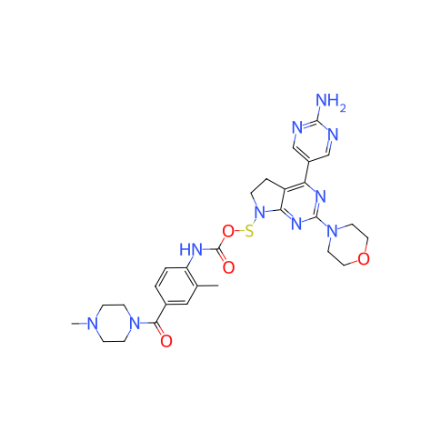 Cc1cc(C(=O)N2CCN(C)CC2)ccc1NC(=O)OSN1CCc2c(-c3cnc(N)nc3)nc(N3CCOCC3)nc21